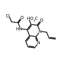 C=CCn1c(=O)c(C(=O)O)c(NC(=O)CCl)c2cccnc21